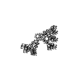 CCO[Si](CSSSSCCC1CCCC(CCSSSSC[Si](OCC)(OCC)OCC)(CCSSSSC[Si](OCC)(OCC)OCC)C1(CCSSSSC[Si](OCC)(OCC)OCC)CCSSSSC[Si](OCC)(OCC)OCC)(OCC)OCC